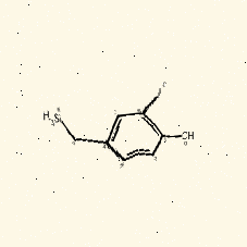 Oc1ccc(C[SiH3])cc1I